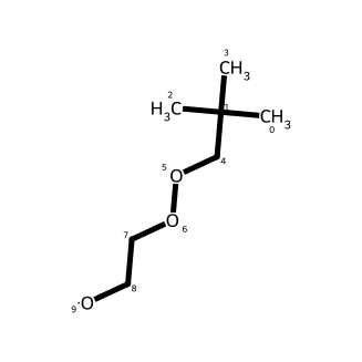 CC(C)(C)COOCC[O]